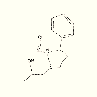 CC(O)CN1CCC(c2ccccc2)[C@H]1[C]=O